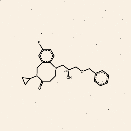 O=C1CCN(C[C@H](O)COCc2ccccc2)c2ccc(F)cc2CN1C1CC1